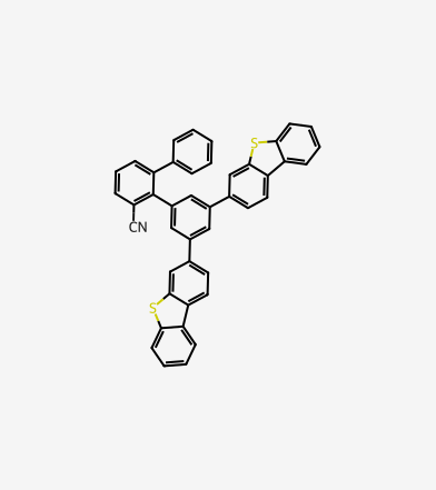 N#Cc1cccc(-c2ccccc2)c1-c1cc(-c2ccc3c(c2)sc2ccccc23)cc(-c2ccc3c(c2)sc2ccccc23)c1